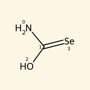 NC(O)=[Se]